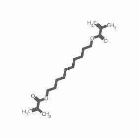 C=C(C)C(=O)OCCCCCCCCCCOC(=O)C(=C)C